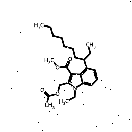 CCCCCCCC(CC)c1cccc2c1c(C(=O)OC)c(COC(C)=O)n2CC